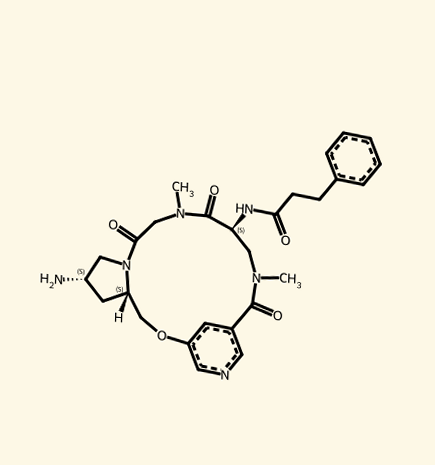 CN1C[C@H](NC(=O)CCc2ccccc2)C(=O)N(C)CC(=O)N2C[C@@H](N)C[C@H]2COc2cncc(c2)C1=O